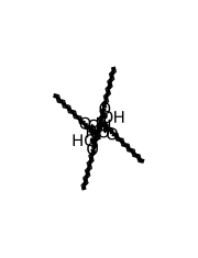 CCCCCCCCCCCOCC(O)CN(CCN(CC(O)COCCCCCCCCCCC)CC(O)COCCCCCCCCCCC)CC(O)COCCCCCCCCCCC